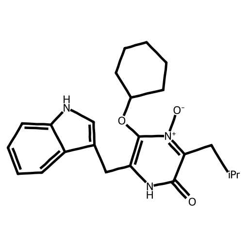 CC(C)Cc1c(=O)[nH]c(Cc2c[nH]c3ccccc23)c(OC2CCCCC2)[n+]1[O-]